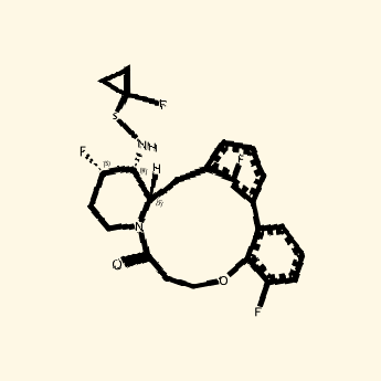 O=C1CCOc2c(F)cccc2-c2cccc(c2F)C[C@H]2[C@@H](NSC3(F)CC3)[C@@H](F)CCN12